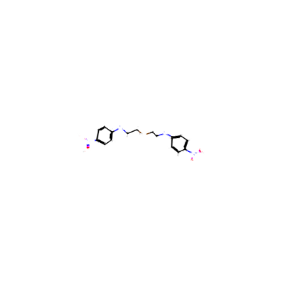 O=[N+]([O-])c1ccc(NCCSCCNc2ccc([N+](=O)[O-])cc2)cc1